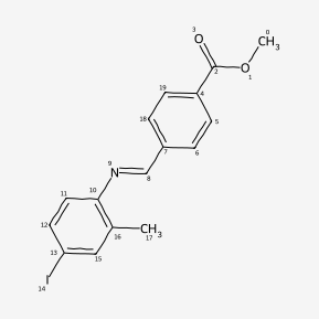 COC(=O)c1ccc(/C=N/c2ccc(I)cc2C)cc1